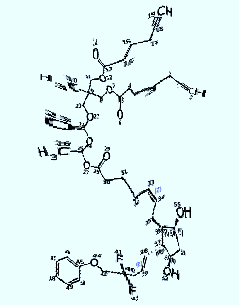 C#CCCCC(=O)OCC(C)(COC(=O)CCCC#C)COC(=O)OC(C)OC(=O)CCC/C=C\C[C@@H]1[C@@H](/C=C/C(F)(F)COc2ccccc2)[C@H](O)C[C@@H]1O